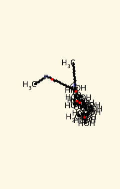 CCCCCCCC/C=C\CCCCCCCCCCCCCCCC(=O)N[C@@H](CO[C@@H]1OC(CO)[C@@H](O[C@@H]2OC(CO)[C@H](O)[C@H](O[C@@H]3OC(CO)[C@@H](O[C@@H]4OC(CO[C@]5(C(=O)O)CC(O)[C@@H](NC(C)=O)C([C@H](O)[C@H](O)CO)O5)[C@H](O)[C@H](O)C4O)[C@H](O)C3NC(C)=O)C2O)[C@H](O)C1O)[C@H](O)/C=C/CCCCCCCCCCCCC